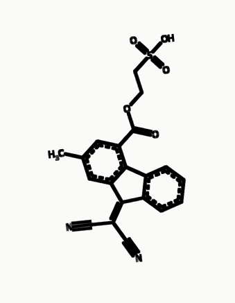 Cc1cc(C(=O)OCCS(=O)(=O)O)c2c(c1)C(=C(C#N)C#N)c1ccccc1-2